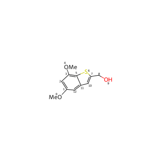 COc1cc(OC)c2sc(CO)cc2c1